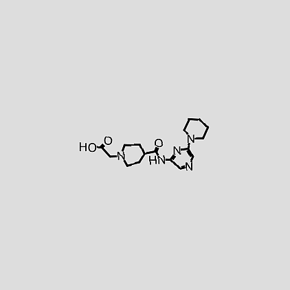 O=C(O)CN1CCC(C(=O)Nc2cncc(N3CCCCC3)n2)CC1